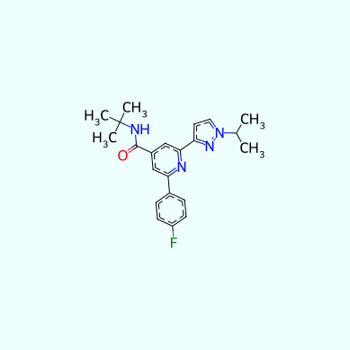 CC(C)n1ccc(-c2cc(C(=O)NC(C)(C)C)cc(-c3ccc(F)cc3)n2)n1